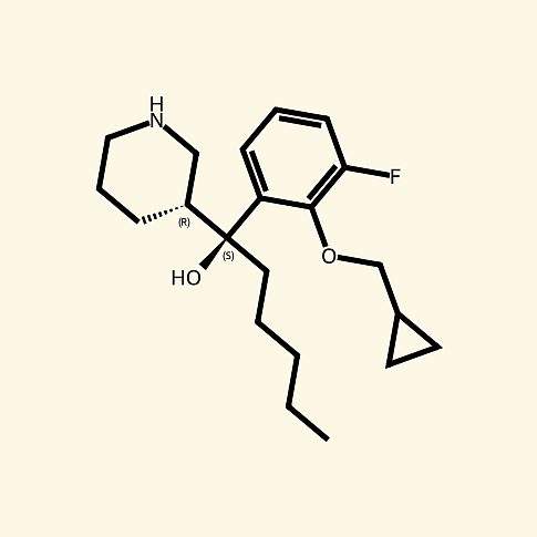 CCCCC[C@@](O)(c1cccc(F)c1OCC1CC1)[C@@H]1CCCNC1